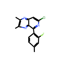 Cc1ccc(-c2nc(Cl)cc3nc(C)c(C)nc23)c(F)c1